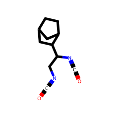 O=C=NCC(N=C=O)C1CC2CCC1C2